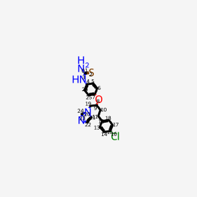 NC(=S)Nc1ccc(OC(CCc2ccc(Cl)cc2)Cn2ccnc2)cc1